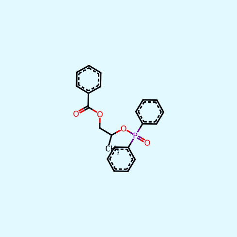 CC(COC(=O)c1ccccc1)OP(=O)(c1ccccc1)c1ccccc1